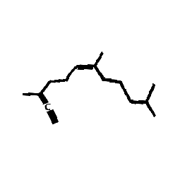 C=C=C(C)CCC=C(C)CCCC(C)C